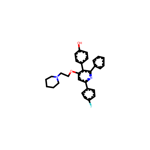 Oc1ccc(-c2c(OCCN3CCCCC3)cc(-c3ccc(F)cc3)nc2-c2ccccc2)cc1